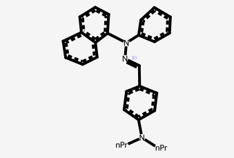 CCCN(CCC)c1ccc(/C=N/N(c2ccccc2)c2cccc3ccccc23)cc1